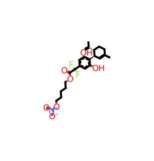 C=C(C)[C@@H]1CCC(C)=C[C@H]1c1c(O)cc(C(F)(F)C(=O)OCCCCCO[N+](=O)[O-])cc1O